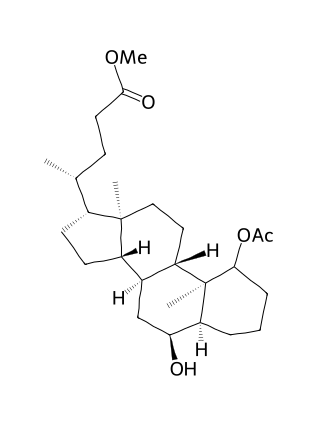 COC(=O)CC[C@@H](C)[C@H]1CC[C@H]2[C@@H]3C[C@H](O)[C@@H]4CCCC(OC(C)=O)[C@]4(C)[C@H]3CC[C@]12C